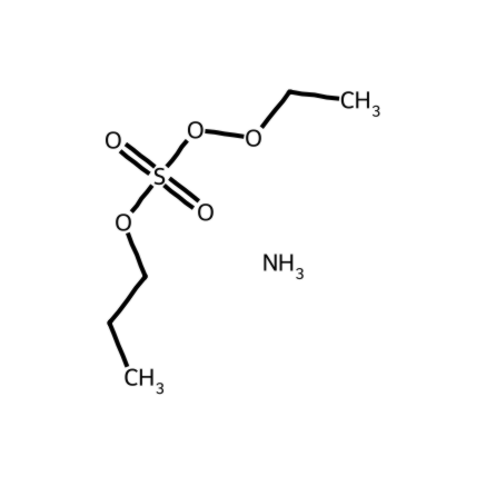 CCCOS(=O)(=O)OOCC.N